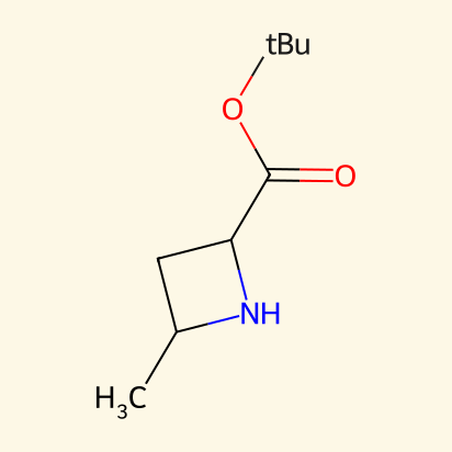 CC1CC(C(=O)OC(C)(C)C)N1